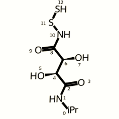 CC(C)NC(=O)[C@@H](O)[C@H](O)C(=O)NSS